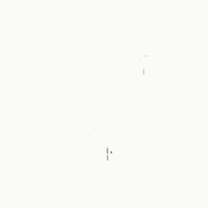 CC(NC(=O)C1CC=CCC1)c1ccc(C(=O)NO)cc1